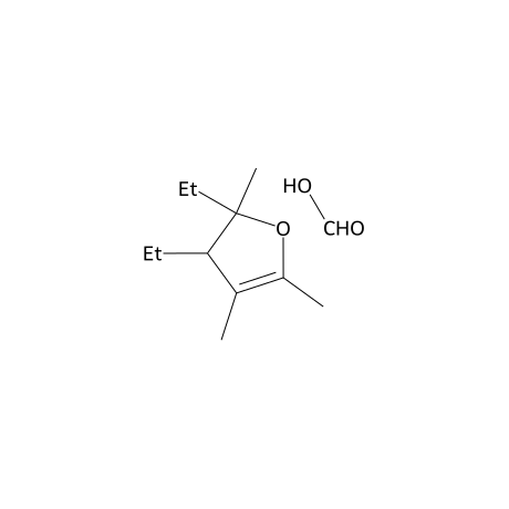 CCC1C(C)=C(C)OC1(C)CC.O=CO